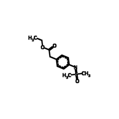 CCOC(=O)Cc1ccc(N=S(C)(C)=O)cc1